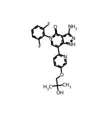 CC(C)(O)COc1ccc(-c2cn(-c3c(F)cccc3F)c(=O)c3c(N)n[nH]c23)nc1